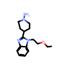 CCOCCn1c(C2CCN(N)CC2)nc2ccccc21